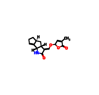 CC1=CC(O/C=C2/C(=O)N[C@@H]3C4=CCC[C@H]4C[C@H]23)OC1=O